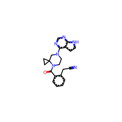 N#CCc1ccccc1C(=O)N1CCN(c2ncnc3[nH]ccc23)CC12CC2